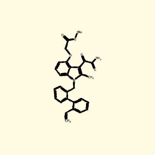 C=Cc1ccccc1-c1ccccc1Cn1c(C)c(C(=O)C(N)=O)c2c(OCC(=O)OC(C)(C)C)cccc21